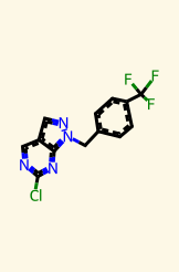 FC(F)(F)c1ccc(Cn2ncc3cnc(Cl)nc32)cc1